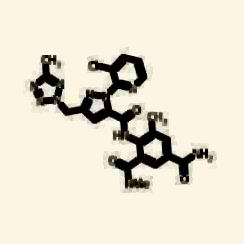 CNC(=O)c1cc(C(N)=O)cc(C)c1NC(=O)c1cc(Cn2nnc(C)n2)nn1-c1ncccc1Cl